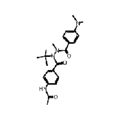 CC(=O)Nc1ccc(C(=O)N(N(C)C(=O)c2ccc(N(C)C)cc2)C(C)(C)C)cc1